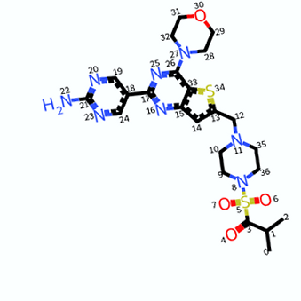 CC(C)C(=O)S(=O)(=O)N1CCN(Cc2cc3nc(-c4cnc(N)nc4)nc(N4CCOCC4)c3s2)CC1